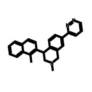 Cc1c(C2CN(C)Cc3cc(-c4cccnn4)ccc32)ccc2ccccc12